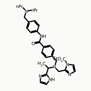 CCCN(CCC)Cc1ccc(NC(=O)c2ccc(CN(Cc3nccn3C(=O)OCC)C(C)c3ncc[nH]3)cc2)cc1